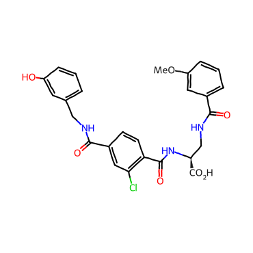 COc1cccc(C(=O)NC[C@H](NC(=O)c2ccc(C(=O)NCc3cccc(O)c3)cc2Cl)C(=O)O)c1